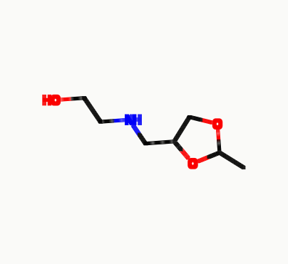 CC1OCC(CNCCO)O1